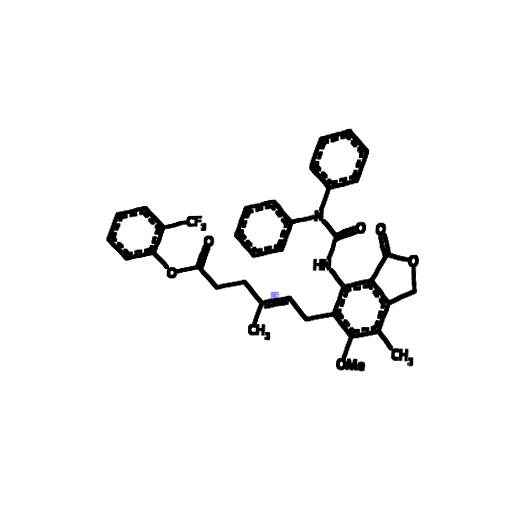 COc1c(C)c2c(c(NC(=O)N(c3ccccc3)c3ccccc3)c1C/C=C(\C)CCC(=O)Oc1ccccc1C(F)(F)F)C(=O)OC2